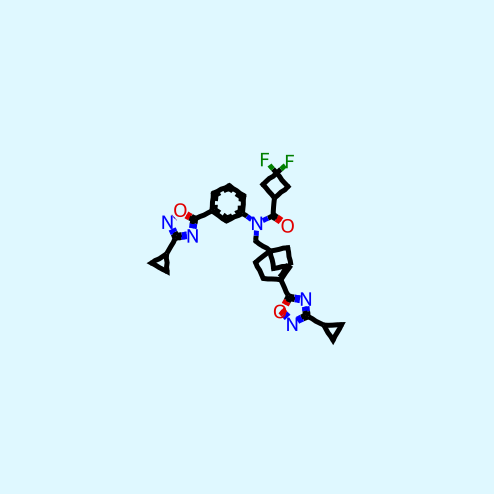 O=C(C1CC(F)(F)C1)N(CC12CCC(c3nc(C4CC4)no3)=C(C1)C2)c1cccc(-c2nc(C3CC3)no2)c1